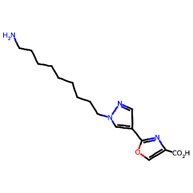 NCCCCCCCCCn1cc(-c2nc(C(=O)O)co2)cn1